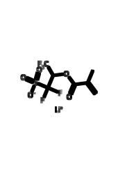 C=C(C)C(=O)OC(C(F)(F)F)C(F)(F)S(=O)(=O)[O-].[Li+]